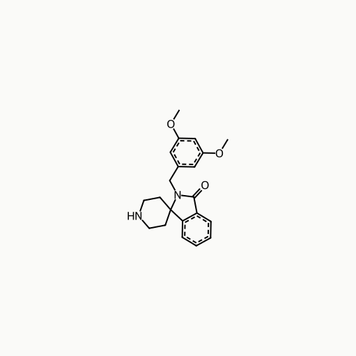 COc1cc(CN2C(=O)c3ccccc3C23CCNCC3)cc(OC)c1